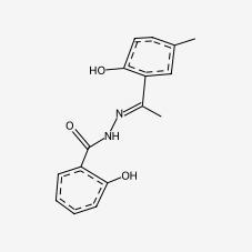 C/C(=N\NC(=O)c1ccccc1O)c1cc(C)ccc1O